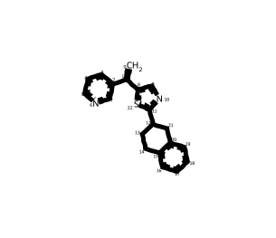 C=C(c1cccnc1)c1cnc(C2CCc3ccccc3C2)s1